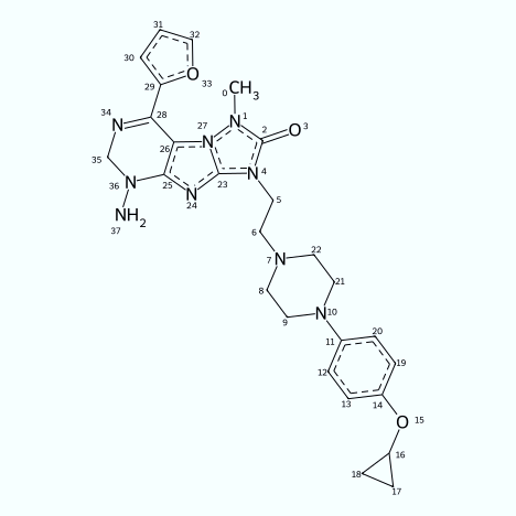 Cn1c(=O)n(CCN2CCN(c3ccc(OC4CC4)cc3)CC2)c2nc3c(n21)C(c1ccco1)=NCN3N